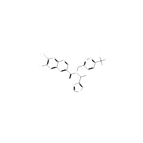 CC(c1cscn1)N(Cc1ccc(C(F)(F)F)nn1)C(=O)c1cnc2nc(N)c(Br)cc2c1